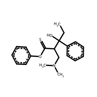 CCC(O)(c1ccccc1)C(CN(C)C)C(=S)Oc1ccccc1